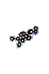 c1ccc(-c2cc(-c3ccccc3)c(-c3cccc(-c4c5ccccc5c(-c5cccc(-c6nccc7ccccc67)c5)c5ccccc45)c3)c(-c3ccccc3)c2)cc1